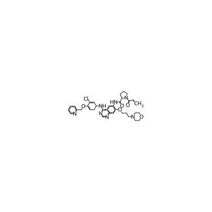 C=CC(=O)N1CCCC1C(=O)Nc1cc2c(NC3C=C(Cl)C(OCc4ccccn4)=CC3)ncnc2cc1OCCCN1CCOCC1